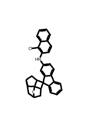 Clc1c(Nc2ccc3c(c2)C2(c4ccccc4-3)C3CC4CC5CC2C3(C4)C5)ccc2ccccc12